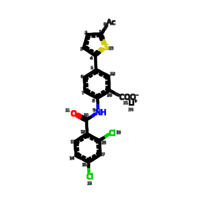 CC(=O)c1ccc(-c2ccc(NC(=O)c3ccc(Cl)cc3Cl)c(C(=O)[O-])c2)s1.[Li+]